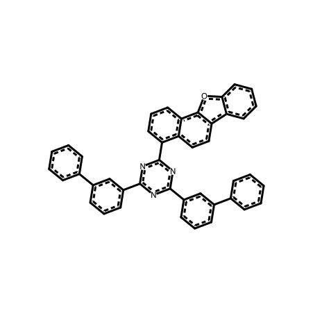 c1ccc(-c2cccc(-c3nc(-c4cccc(-c5ccccc5)c4)nc(-c4cccc5c4ccc4c6ccccc6oc54)n3)c2)cc1